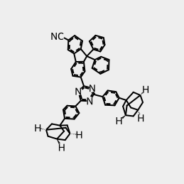 N#Cc1ccc2c(c1)-c1ccc(-c3nc(-c4ccc(C56C[C@H]7C[C@@H](C5)C[C@@H](C6)C7)cc4)nc(-c4ccc(C56C[C@H]7C[C@H](C5)C[C@@H](C6)C7)cc4)n3)cc1C2(c1ccccc1)c1ccccc1